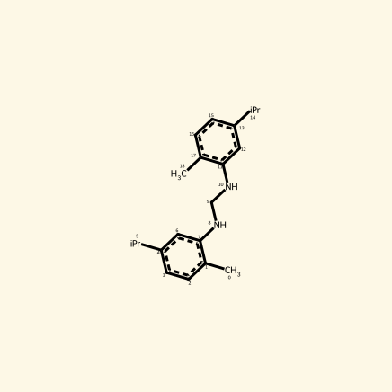 Cc1ccc(C(C)C)cc1NCNc1cc(C(C)C)ccc1C